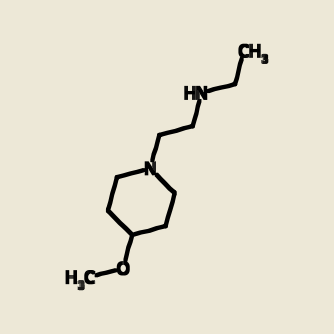 CCNCCN1CCC(OC)CC1